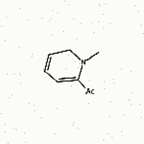 CC(=O)C1=CC=CCN1C